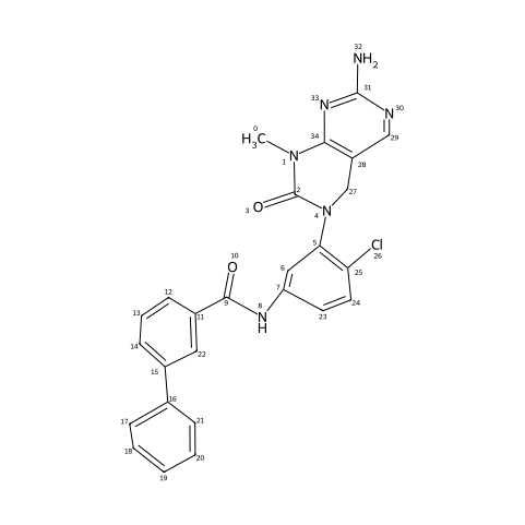 CN1C(=O)N(c2cc(NC(=O)c3cccc(-c4ccccc4)c3)ccc2Cl)Cc2cnc(N)nc21